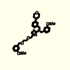 COc1cccc(COCCOCc2csc(N(Cc3cccc(OC)c3)Cc3cccc(N4CCOCC4)c3)n2)c1